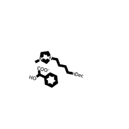 CCCCCCCCCCCCCCn1cc[n+](C)c1.O=C([O-])C(O)c1ccccc1